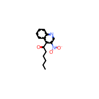 CCCCCC(=O)c1c([N+](=O)[O-])cnc2ccccc12